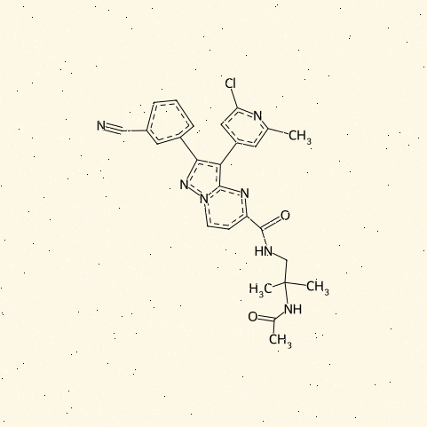 CC(=O)NC(C)(C)CNC(=O)c1ccn2nc(-c3cccc(C#N)c3)c(-c3cc(C)nc(Cl)c3)c2n1